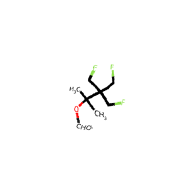 CC(C)(O[C]=O)C(CF)(CF)CF